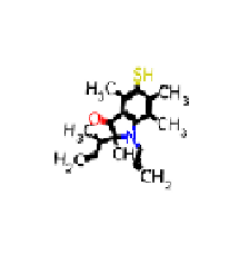 C=CCN1c2c(C)c(C)c(S)c(C)c2C(=O)C1(C)C(C)C=C